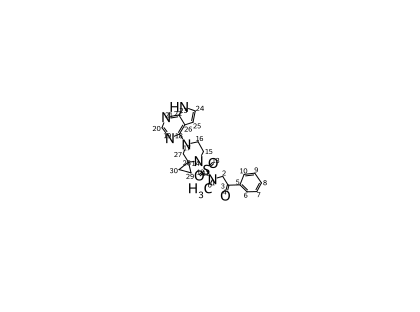 CN(CC(=O)c1ccccc1)S(=O)(=O)N1CCN(c2ncnc3[nH]ccc23)CC12CC2